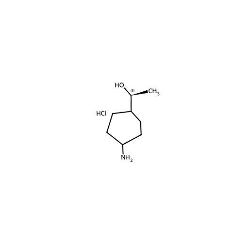 C[C@H](O)C1CCC(N)CC1.Cl